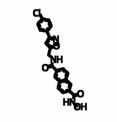 O=C(NO)c1ccc2cc(C(=O)NCc3cc(-c4ccc(Cl)cc4)no3)ccc2c1